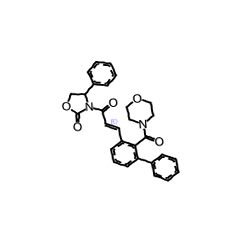 O=C(c1c(/C=C/C(=O)N2C(=O)OCC2c2ccccc2)cccc1-c1ccccc1)N1CCOCC1